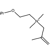 C=C(C)C[N+](C)(C)CCOC(C)C